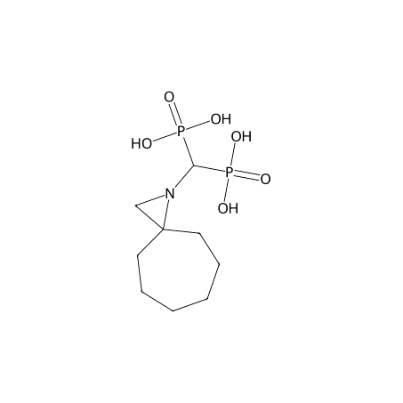 O=P(O)(O)C(N1CC12CCCCCC2)P(=O)(O)O